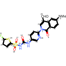 CNc1ccc2c(=O)n(-c3ccc(NC(=O)NS(=O)(=O)C4=CCC(F)S4)cn3)cc(C=O)c2c1